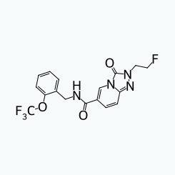 O=C(NCc1ccccc1OC(F)(F)F)c1ccc2nn(CCF)c(=O)n2c1